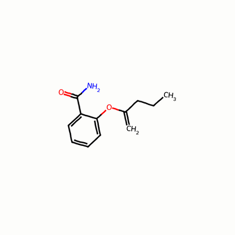 C=C(CCC)Oc1ccccc1C(N)=O